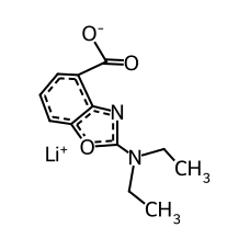 CCN(CC)c1nc2c(C(=O)[O-])cccc2o1.[Li+]